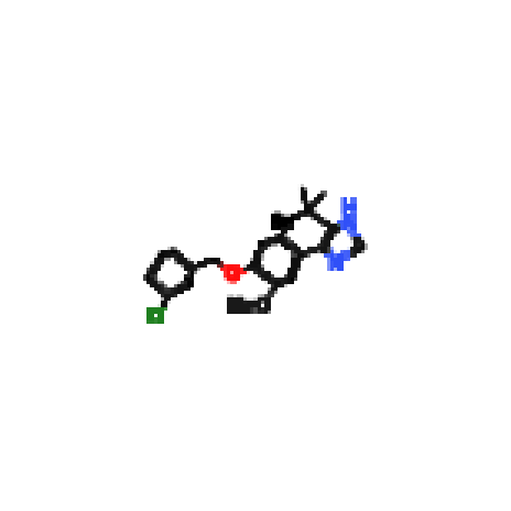 COc1cc2c(cc1OCc1cccc(Cl)c1)[Se]C(C)(C)c1[nH]cnc1-2